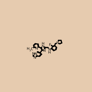 Cc1cccc(-c2[nH]c(CNc3cccc(CN4CCCC4)c3F)nc2-c2ccc3ncnn3c2)n1